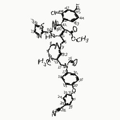 COC(=O)C1=C(CN2CCN(C)C(CN(C=O)c3ccc(Oc4ccc(C#N)cc4)cc3)C2)NC(c2nccs2)=N[C@H]1c1ccc(F)cc1Cl